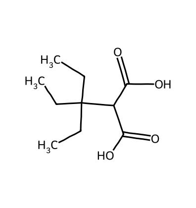 CCC(CC)(CC)C(C(=O)O)C(=O)O